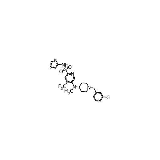 CN(c1cnc(S(=O)(=O)Nc2cscn2)cc1C(F)(F)F)C1CCN(Cc2cccc(Cl)c2)CC1